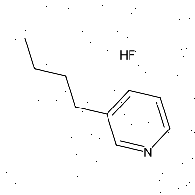 CCCCc1cccnc1.F